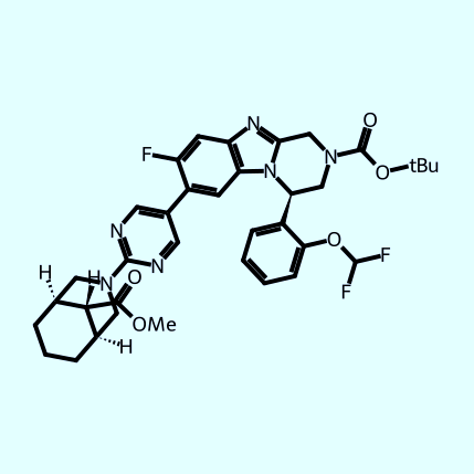 COC(=O)[C@@H]1[C@@H]2CCC[C@H]1CN(c1ncc(-c3cc4c(cc3F)nc3n4[C@H](c4ccccc4OC(F)F)CN(C(=O)OC(C)(C)C)C3)cn1)C2